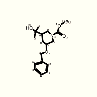 CC(C)(C)OC(=O)N1CC(OCc2ccccc2)CC(C(C)(C)O)C1